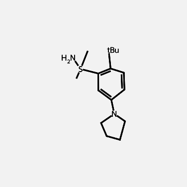 CC(C)(C)c1ccc(N2CCCC2)cc1S(C)(C)N